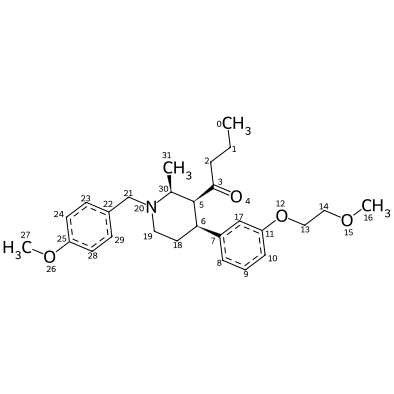 CCCC(=O)[C@H]1[C@@H](c2cccc(OCCOC)c2)CCN(Cc2ccc(OC)cc2)[C@H]1C